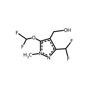 Cn1nc(C(F)F)c(CO)c1OC(F)F